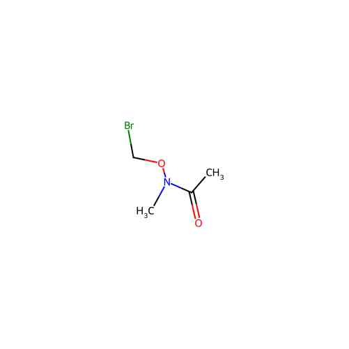 CC(=O)N(C)OCBr